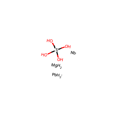 [MgH2].[Nb].[OH][Ti]([OH])([OH])[OH].[PbH2]